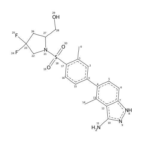 Cc1cc(-c2ccc3[nH]nc(N)c3c2C)ccc1S(=O)(=O)N1CC(F)(F)CC1CO